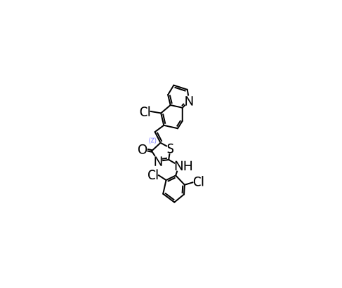 O=C1N=C(Nc2c(Cl)cccc2Cl)S/C1=C\c1ccc2ncccc2c1Cl